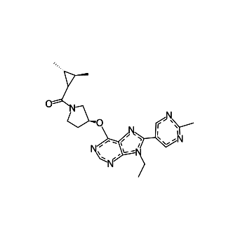 CCn1c(-c2cnc(C)nc2)nc2c(O[C@H]3CCN(C(=O)C4[C@H](C)[C@H]4C)C3)ncnc21